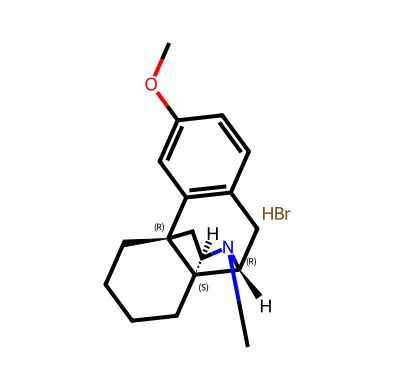 Br.COc1ccc2c(c1)[C@@]13CCCC[C@@H]1[C@@H](C2)N(C)CC3